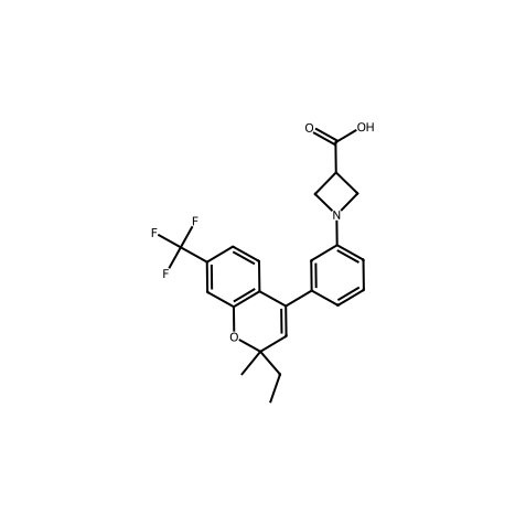 CCC1(C)C=C(c2cccc(N3CC(C(=O)O)C3)c2)c2ccc(C(F)(F)F)cc2O1